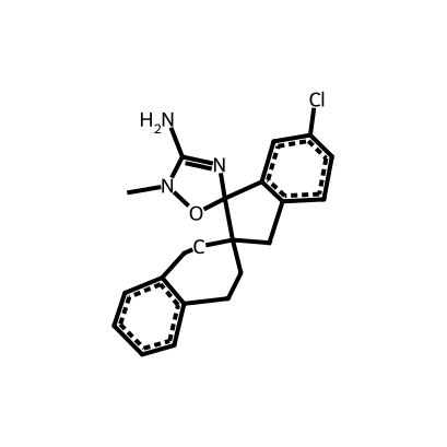 CN1OC2(N=C1N)c1cc(Cl)ccc1CC21CCc2ccccc2CC1